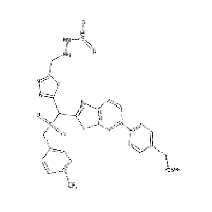 COCc1ccc(-c2ccc3nc(C(c4nnc(CNN[SH](=O)=O)o4)S(=O)(=O)Cc4ccc(C(F)(F)F)cc4)sc3c2)cc1